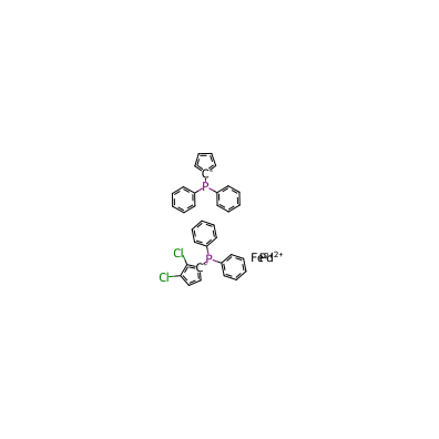 Clc1cc[c-](P(c2ccccc2)c2ccccc2)c1Cl.[Fe+2].[Pd+2].c1ccc(P(c2ccccc2)[c-]2cccc2)cc1